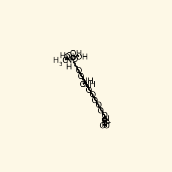 CC(=O)N[C@@H]1[C@@H](O)[C@@H](O)[C@@H](CO)O[C@@H]1CCCCCOCCOCCNC(=O)NCCOCCOCCOCCOCCOCCOc1ccc([N+](=O)[O-])cn1